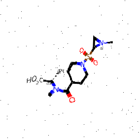 CC(C)[C@@H](C(=O)O)N(C)C(=O)C1CCN(S(=O)(=O)C2C[N@@]2C)CC1